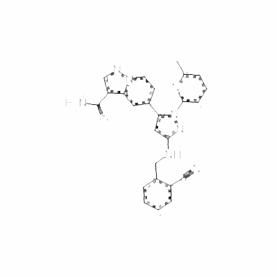 Cc1cccc(-n2nc(NCc3ccccc3C#N)cc2-c2ccn3ncc(C(N)=O)c3c2)n1